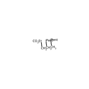 CCCC(C)C.CCCC(C)C.CCOC(C)=O